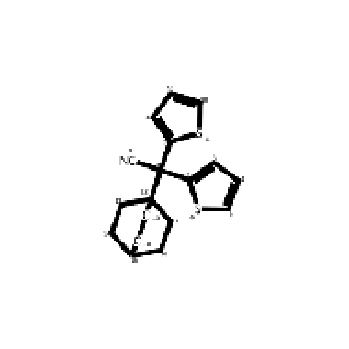 N#CC(c1cccs1)(c1cccs1)C12CCC(CC1)CC2